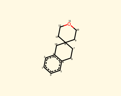 c1ccc2c(c1)CCC1(CCOCC1)C2